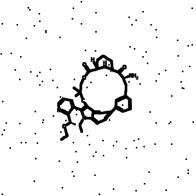 CCO[C@@H](C)c1ncccc1-c1c2c3cc(ccc3n1CC)-c1cccc(c1)C[C@H](N)C(=O)N1CCC[C@H](N1)C(=O)OCC(C)(C)C2